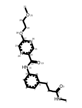 CNC(=O)CCc1cccc(NC(=O)c2cnc(OCCOC)cn2)c1